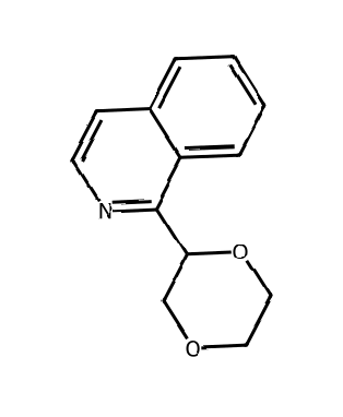 c1ccc2c(C3COCCO3)nccc2c1